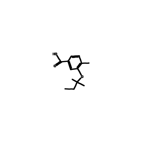 CCC(C)(C)Oc1cc(C(=O)O)ccc1C